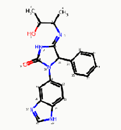 CC(O)C(C)N=C1NC(=O)N(c2ccc3[nH]cnc3c2)C1c1ccccc1